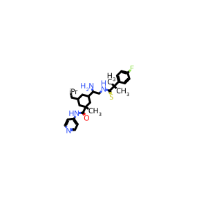 CC(C)CC1CC(C(N)CNC(=S)C(C)(C)c2ccc(F)cc2)CC(C)(C(=O)Nc2ccncc2)C1